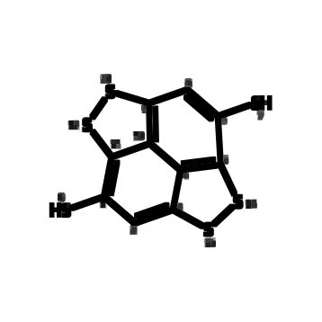 Sc1cc2c3c(c(S)cc4c3c1SS4)SS2